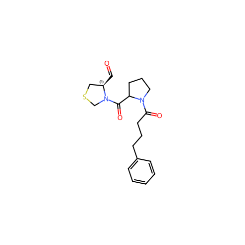 O=C[C@@H]1CSCN1C(=O)C1CCCN1C(=O)CCCc1ccccc1